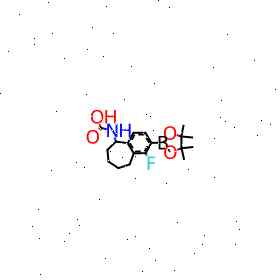 CC1(C)OB(c2ccc3c(c2F)CCCCC3NC(=O)O)OC1(C)C